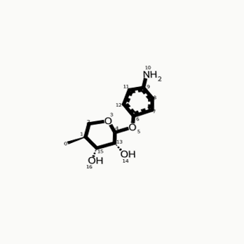 C[C@H]1COC(Oc2ccc(N)cc2)[C@H](O)[C@@H]1O